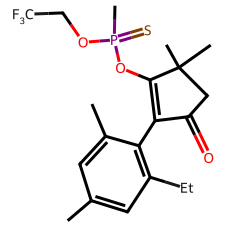 CCc1cc(C)cc(C)c1C1=C(OP(C)(=S)OCC(F)(F)F)C(C)(C)CC1=O